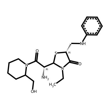 CCN1C(=O)[C@@H](CNc2ccccc2)SC1[C@H](N)C(=O)N1CCCCC1CO